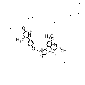 CCc1ccc2c(C3=NN(CCOc4ccc(C5=NNC(=O)CC5C)cc4)C(=O)CC3C)ccc(OC)c2n1